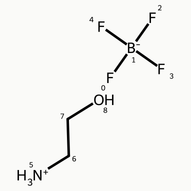 F[B-](F)(F)F.[NH3+]CCO